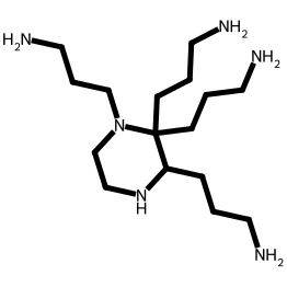 NCCCC1NCCN(CCCN)C1(CCCN)CCCN